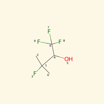 CC(C)(F)C(O)C(F)(F)F